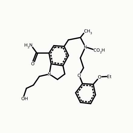 CCOc1ccccc1OCCN(C(=O)O)C(C)Cc1cc2c(c(C(N)=O)c1)N(CCCO)CC2